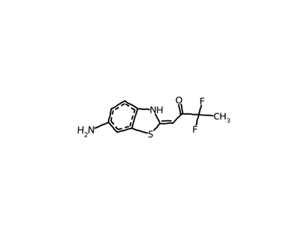 CC(F)(F)C(=O)/C=C1\Nc2ccc(N)cc2S1